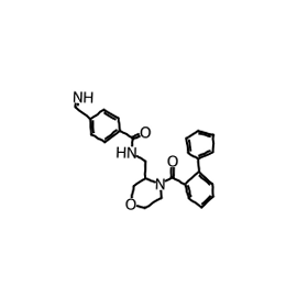 N=Cc1ccc(C(=O)NCC2COCCN2C(=O)c2ccccc2-c2ccccc2)cc1